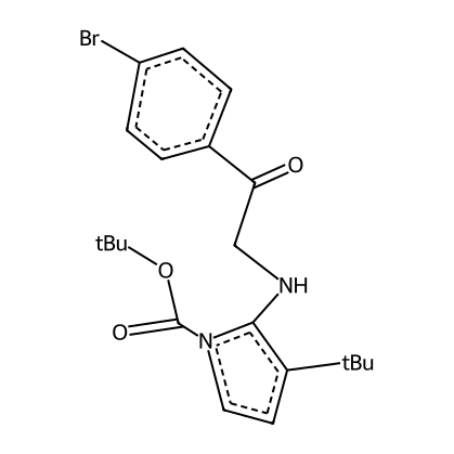 CC(C)(C)OC(=O)n1ccc(C(C)(C)C)c1NCC(=O)c1ccc(Br)cc1